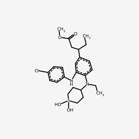 CCC(CC(=O)OC)c1ccc(N(CC)C2CCS(O)(O)CC2)c(Nc2ccc(Cl)cc2)c1